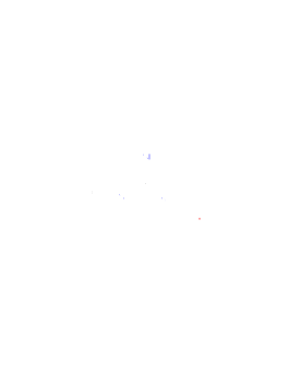 CN1CCN(P(=O)(O)O)C1=N